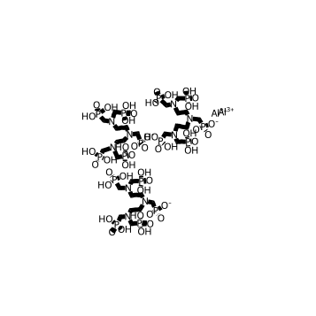 O=P([O-])([O-])CN(CCN(CP(=O)(O)O)CP(=O)(O)O)CCN(CP(=O)(O)O)CP(=O)(O)O.O=P([O-])([O-])CN(CCN(CP(=O)(O)O)CP(=O)(O)O)CCN(CP(=O)(O)O)CP(=O)(O)O.O=P([O-])([O-])CN(CCN(CP(=O)(O)O)CP(=O)(O)O)CCN(CP(=O)(O)O)CP(=O)(O)O.[Al+3].[Al+3]